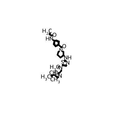 C=CC(=O)Nc1ccc(C(=O)N2CCC[C@@H](Nc3ncc(N(C)Cc4ncc(C(C)(C)C)o4)s3)C2)cc1